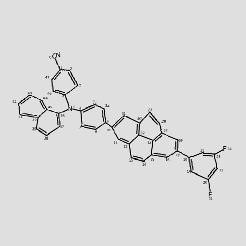 N#Cc1ccc(N(c2ccc(-c3cc4ccc5cc(-c6cc(F)cc(F)c6)cc6ccc(c3)c4c56)cc2)c2cccc3ccccc23)cc1